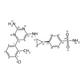 Cc1c(Cl)cccc1-c1cc(N[C@H]2C[C@@H]2c2ccc(S(N)(=O)=O)cc2)nc(N)n1